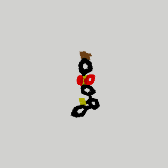 O=S(=O)(c1ccc(Br)cc1)c1ccc(-c2cccc3c2sc2ccccc23)cc1